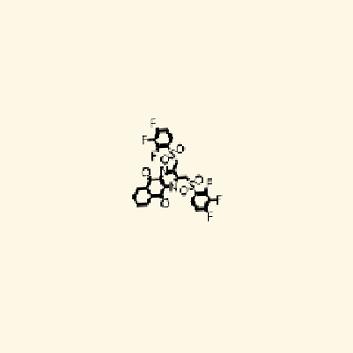 O=C1c2nc(CS(=O)(=O)c3ccc(F)c(F)c3F)c(CS(=O)(=O)c3ccc(F)c(F)c3F)nc2C(=O)C2C=CC=CC12